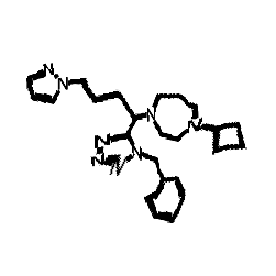 c1ccc(Cn2nnnc2C(CCCn2cccn2)N2CCCN(C3CCC3)CC2)cc1